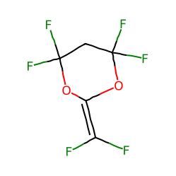 FC(F)=C1OC(F)(F)CC(F)(F)O1